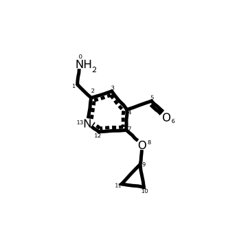 NCc1cc(C=O)c(OC2CC2)cn1